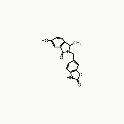 CC1c2ccc(O)cc2C(=O)N1Cc1ccc2[nH]c(=O)oc2c1